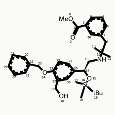 COC(=O)c1cccc(CC(C)(C)NC[C@@H](O[Si](C)(C)C(C)(C)C)c2ccc(OCc3ccccc3)c(CO)c2)c1